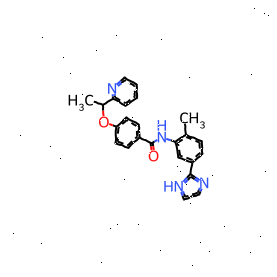 Cc1ccc(-c2ncc[nH]2)cc1NC(=O)c1ccc(OC(C)c2ccccn2)cc1